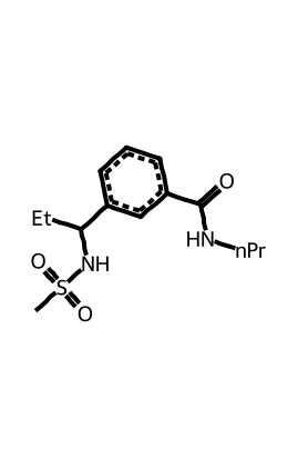 [CH2]CC(NS(C)(=O)=O)c1cccc(C(=O)NCCC)c1